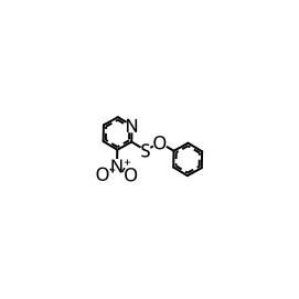 O=[N+]([O-])c1cccnc1SOc1ccccc1